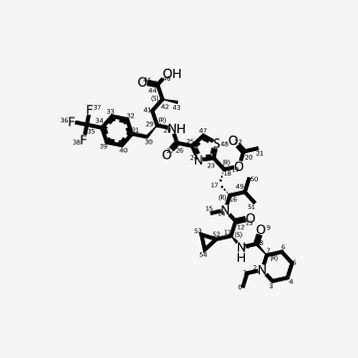 CCN1CCCC[C@@H]1C(=O)N[C@H](C(=O)N(C)[C@H](C[C@@H](OC(C)=O)c1nc(C(=O)N[C@@H](Cc2ccc(C(F)(F)F)cc2)C[C@H](C)C(=O)O)cs1)C(C)C)C1CC1